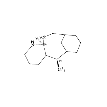 C[C@@H]1C2CCCC(CN[C@@H]3NCCCC31)C2